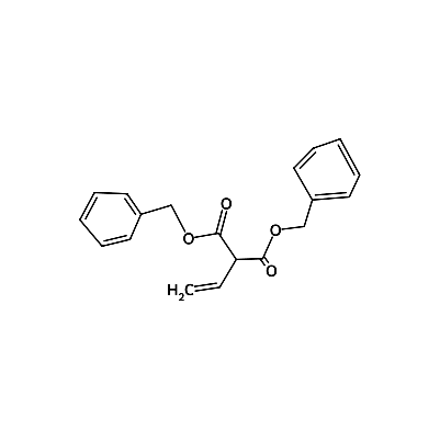 C=CC(C(=O)OCc1ccccc1)C(=O)OCc1ccccc1